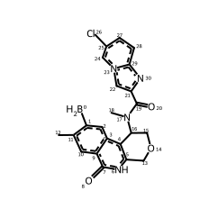 Bc1cc2c3c([nH]c(=O)c2cc1C)COCC3N(C)C(=O)c1cn2cc(Cl)ccc2n1